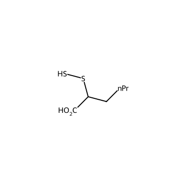 CCCCC(SS)C(=O)O